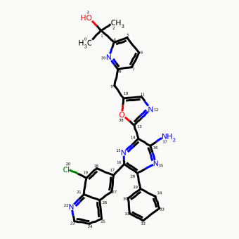 CC(C)(O)c1cccc(Cc2cnc(-c3nc(-c4cc(Cl)c5ncccc5c4)c(-c4ccccc4)nc3N)o2)n1